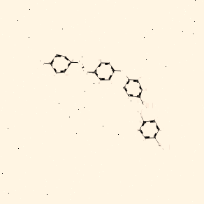 Nc1ccc(/N=N/c2ccc(Sc3ccc(NNc4ccc(N)cc4)cc3)cc2)cc1